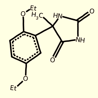 CCOc1ccc(OCC)c(C2(C)NC(=O)NC2=O)c1